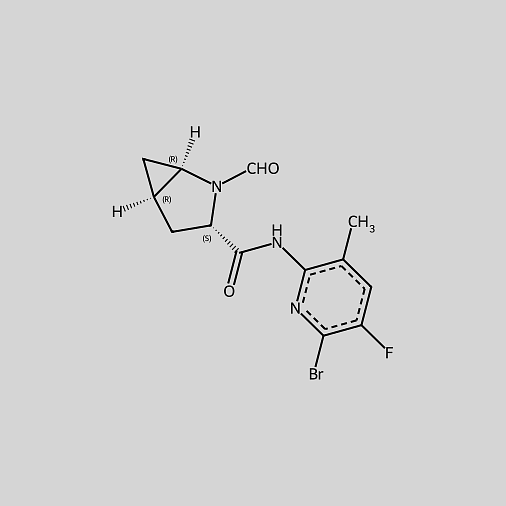 Cc1cc(F)c(Br)nc1NC(=O)[C@@H]1C[C@H]2C[C@H]2N1C=O